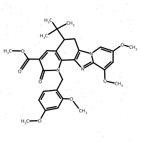 COC(=O)c1cc2c(n(Cc3ccc(OC)cc3OC)c1=O)-c1nc3c(OC)cc(OC)cn3c1CC2C(C)(C)C